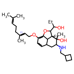 CCC(O)C1OC2=C(OC/C=C(\C)CCC=C(C)C)C=CC3CC(NCC4CCC4)C(C)(O)C1(CC)C23